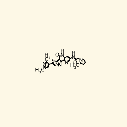 Cc1nn(C)cc1-c1cn2nc3c4ncc(NC(=O)CN5CCC[C@@H]5C)cc4[nH]c(=O)c3c2s1